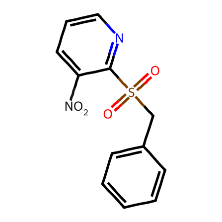 O=[N+]([O-])c1cccnc1S(=O)(=O)Cc1ccccc1